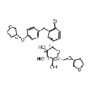 O[C@@H]1[C@@H](O)[C@H](c2ccc(Cl)c(Cc3ccc(O[C@H]4CCOC4)cc3)c2)O[C@H](CO[C@H]2CCOC2)[C@H]1O